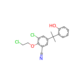 CC(C)(c1cc(Cl)c(OCCCl)c(C#N)c1)c1ccccc1O